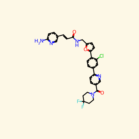 Nc1ccc(/C=C/C(=O)NCc2ccc(-c3ccc(-c4ccc(C(=O)N5CCC(F)(F)CC5)cn4)cc3Cl)o2)cn1